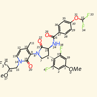 COc1cc(F)c([C@@H]2CN(c3c(C)ccn(CC(OC)C(F)(F)F)c3=O)C(=O)[C@H]2NC(=O)c2ccc(OC(F)F)cc2)c(F)c1